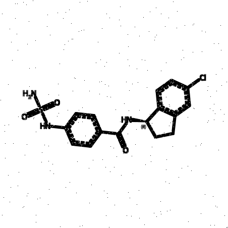 NS(=O)(=O)Nc1ccc(C(=O)N[C@@H]2CCc3cc(Cl)ccc32)cc1